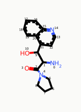 NC(C(=O)N1CCCC1)C(O)c1ccnc2ccccc12